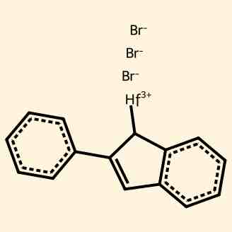 [Br-].[Br-].[Br-].[Hf+3][CH]1C(c2ccccc2)=Cc2ccccc21